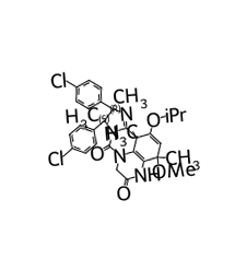 COC1(C)C=C(OC(C)C)C2(C)C3=N[C@](C)(c4ccc(Cl)cc4)[C@](C)(c4ccc(Cl)cc4)N3C(=O)N3CC(=O)NC1=C32